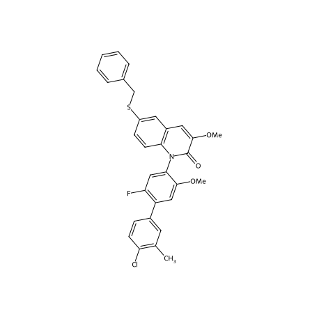 COc1cc(-c2ccc(Cl)c(C)c2)c(F)cc1-n1c(=O)c(OC)cc2cc(SCc3ccccc3)ccc21